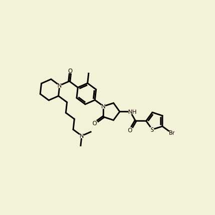 Cc1cc(N2CC(NC(=O)c3ccc(Br)s3)CC2=O)ccc1C(=O)N1CCCCC1CCCCN(C)C